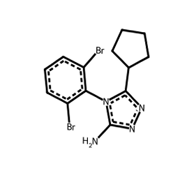 Nc1nnc(C2CCCC2)n1-c1c(Br)cccc1Br